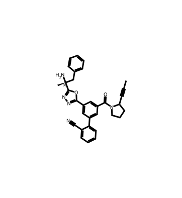 CC#CC1CCCN1C(=O)c1cc(-c2nnc([C@](C)(N)Cc3ccccc3)o2)cc(-c2ccccc2C#N)c1